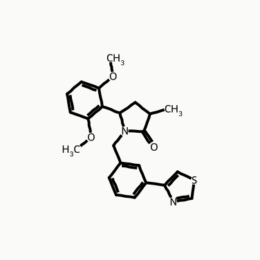 COc1cccc(OC)c1C1CC(C)C(=O)N1Cc1cccc(-c2cscn2)c1